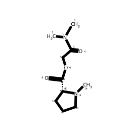 CN(C)C(=O)COC(=O)[C@H]1CCCN1C